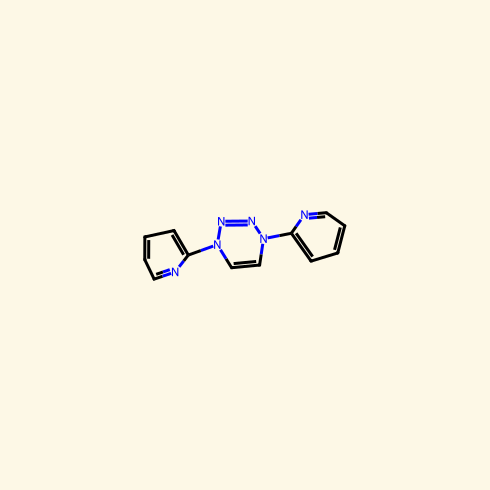 C1=CN(c2ccccn2)N=NN1c1ccccn1